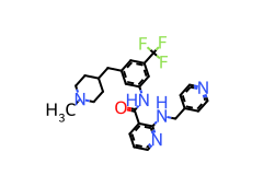 CN1CCC(Cc2cc(NC(=O)c3cccnc3NCc3ccncc3)cc(C(F)(F)F)c2)CC1